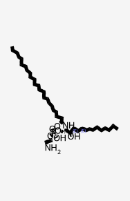 CCCCCCCC/C=C/C=C/[C@@H](O)[C@H](COP(=O)(O)OCCN)NC(=O)CCCCCCCCCCCCCCCCCCCCCCC